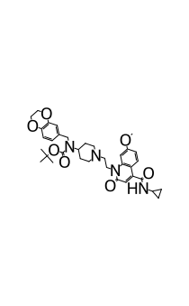 COc1ccc2c(C(=O)NC3CC3)cc(=O)n(CCN3CCC(N(Cc4ccc5c(c4)OCCO5)C(=O)OC(C)(C)C)CC3)c2c1